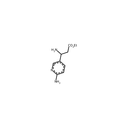 CCOC(=O)CC(N)c1ccc(N)nc1